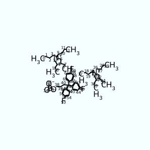 CCCC[N+](CCCC)(CCCC)CCCC.CCCC[N+](CCCC)(CCCC)CCCC.[O-]B([O-])OCCCC(c1ccc(F)cc1)(c1ccc(F)cc1)c1ccc(F)cc1